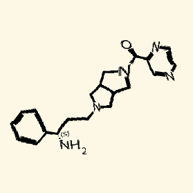 N[C@@H](CCN1CC2CN(C(=O)c3cnccn3)CC2C1)c1ccccc1